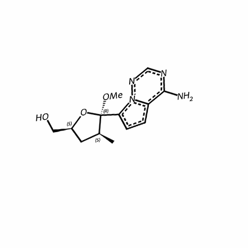 CO[C@@]1(c2ccc3c(N)ncnn23)O[C@H](CO)C[C@@H]1C